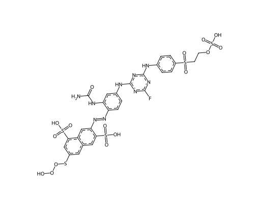 NC(=O)Nc1cc(Nc2nc(F)nc(Nc3ccc(S(=O)(=O)CCOS(=O)(=O)O)cc3)n2)ccc1N=Nc1cc2c(S(=O)(=O)O)cc(SOOO)cc2cc1S(=O)(=O)O